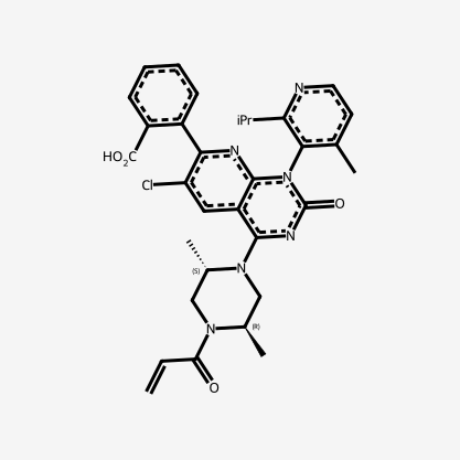 C=CC(=O)N1C[C@H](C)N(c2nc(=O)n(-c3c(C)ccnc3C(C)C)c3nc(-c4ccccc4C(=O)O)c(Cl)cc23)C[C@H]1C